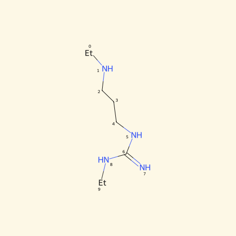 CCNCCCNC(=N)NCC